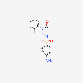 Cc1ccccc1N1CN(S(=O)(=O)c2ccc(N)cc2)CCC1=O